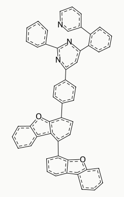 c1ccc(-c2nc(-c3ccc(-c4ccc(-c5cccc6c5oc5ccccc56)c5c4oc4ccccc45)cc3)cc(-c3ccccc3-c3cccnc3)n2)cc1